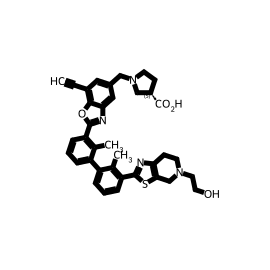 C#Cc1cc(CN2CC[C@H](C(=O)O)C2)cc2nc(-c3cccc(-c4cccc(-c5nc6c(s5)CN(CCO)CC6)c4C)c3C)oc12